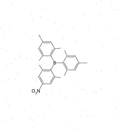 Cc1cc(C)c(B(c2c(C)cc(C)cc2C)c2c(C)cc([N+](=O)[O-])cc2C)c(C)c1